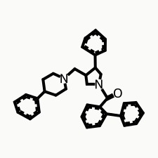 O=C(c1ccccc1-c1ccccc1)N1CC(CN2CCC(c3ccccc3)CC2)C(c2ccccc2)C1